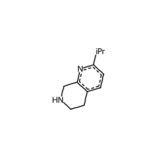 CC(C)c1ccc2c(n1)CNCC2